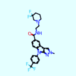 Cn1cc2c3cc(C(=O)NCCN4CCCC(F)(F)C4)ccc3n(-c3ccc(C(F)(F)F)cc3)c2n1